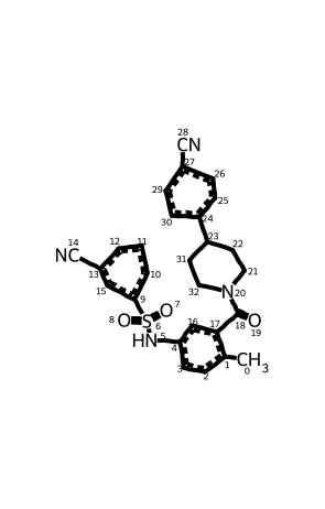 Cc1ccc(NS(=O)(=O)c2cccc(C#N)c2)cc1C(=O)N1CCC(c2ccc(C#N)cc2)CC1